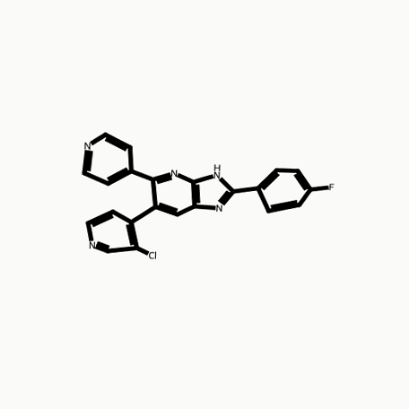 Fc1ccc(-c2nc3cc(-c4ccncc4Cl)c(-c4ccncc4)nc3[nH]2)cc1